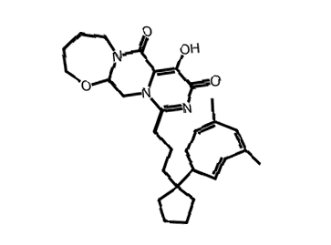 CC1=C/CC(C2(CCCc3nc(=O)c(O)c4n3CC3OCCCCN3C4=O)CCCC2)/C=C/C(C)=C\1